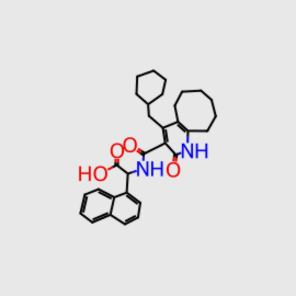 O=C(NC(C(=O)O)c1cccc2ccccc12)c1c(CC2CCCCC2)c2c([nH]c1=O)CCCCCC2